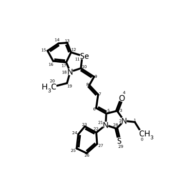 CCN1C(=O)C(=CC=CC=C2[Se]c3ccccc3N2CC)N(c2ccccc2)C1=S